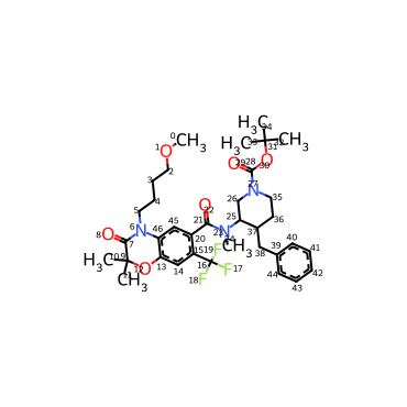 COCCCCN1C(=O)C(C)(C)Oc2cc(C(F)(F)F)c(C(=O)N(C)C3CN(C(=O)OC(C)(C)C)CCC3Cc3ccccc3)cc21